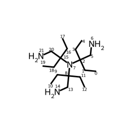 CCC(CC)(CN)N(C(CC)(CC)CN)C(CC)(CC)CN